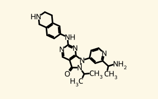 CC(N)c1cc(-n2c3nc(Nc4ccc5c(c4)CCNC5)ncc3c(=O)n2C(C)C)ccn1